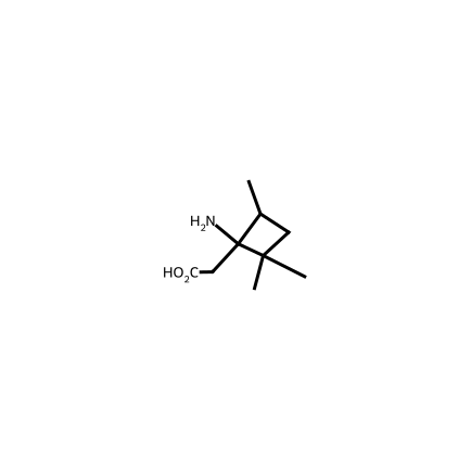 CC1CC(C)(C)C1(N)CC(=O)O